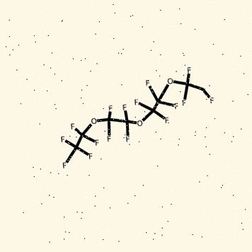 F[CH]C(F)(F)OC(F)(F)C(F)(F)OC(F)(F)C(F)(F)OC(F)(F)C(F)(F)F